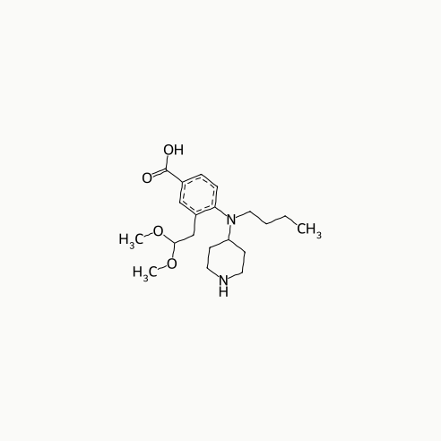 CCCCN(c1ccc(C(=O)O)cc1CC(OC)OC)C1CCNCC1